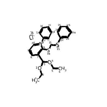 CCOC(OCC)c1ccc[n+](-c2ccccc2)c1SCSc1ccccc1.[Cl-]